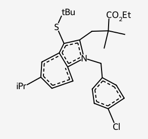 CCOC(=O)C(C)(C)Cc1c(SC(C)(C)C)c2cc(C(C)C)ccc2n1Cc1ccc(Cl)cc1